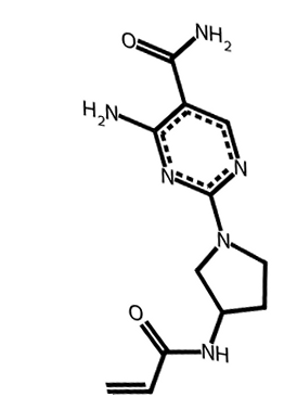 C=CC(=O)NC1CCN(c2ncc(C(N)=O)c(N)n2)C1